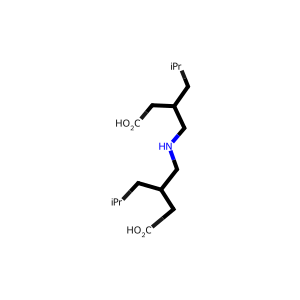 CC(C)CC(CNCC(CC(=O)O)CC(C)C)CC(=O)O